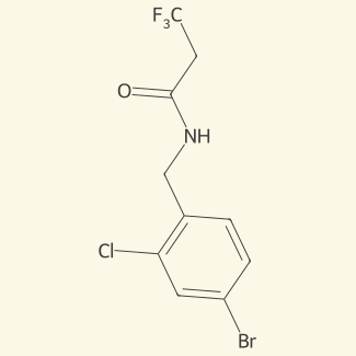 O=C(CC(F)(F)F)NCc1ccc(Br)cc1Cl